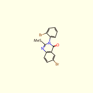 CSc1nc2ccc(Br)cc2c(=O)n1-c1ccccc1Br